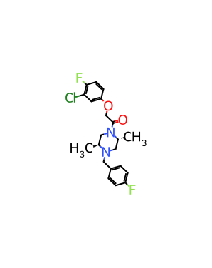 C[C@@H]1CN(Cc2ccc(F)cc2)[C@@H](C)CN1C(=O)COc1ccc(F)c(Cl)c1